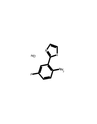 Cl.Nc1ccc(F)cc1-c1nccs1